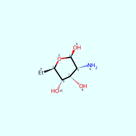 CC[C@H]1O[C@@H](O)[C@H](N)[C@H](O)[C@@H]1O